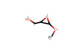 CC(C)OC1OC1CO